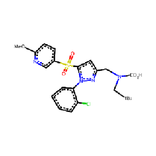 COc1ccc(S(=O)(=O)c2cc(CN(CC(C)(C)C)C(=O)O)nn2-c2ccccc2Cl)cn1